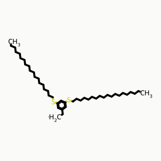 [CH2]Cc1cc(SCCCCCCCCCCCCCCCCCCC)cc(SCCCCCCCCCCCCCCCCCCC)c1